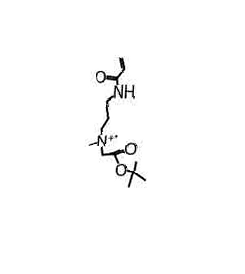 C=CC(=O)NCCC[N+](C)(C)CC(=O)OC(C)(C)C